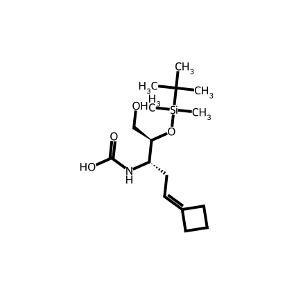 CC(C)(C)[Si](C)(C)O[C@H](CO)[C@H](CC=C1CCC1)NC(=O)O